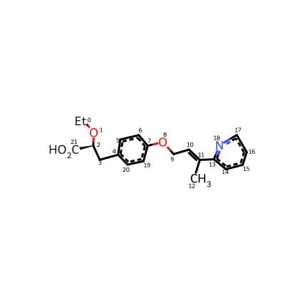 CCO[C@@H](Cc1ccc(OC/C=C(\C)c2ccccn2)cc1)C(=O)O